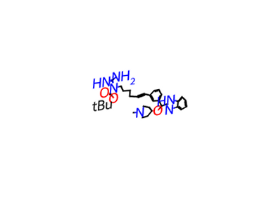 CN1CCC(OC(c2cccc(C#CCCCCN(C(=N)N)C(=O)OC(C)(C)C)c2)c2nc3ccccc3[nH]2)CC1